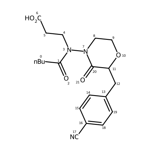 CCCCC(=O)N(CCC(=O)O)N1CCOC(Cc2ccc(C#N)cc2)C1=O